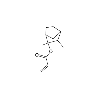 C=CC(=O)OC1(C)C2CCC(C2)C1C